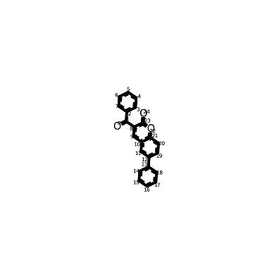 O=C(c1ccccc1)c1cc2cc(-c3ccccc3)ccc2oc1=O